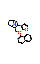 CN1C2CCC1C(COc1cccc3ccccc13)C(c1ccoc1)C2